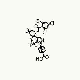 CC(C)(C)CN(CC(=O)c1c(Cl)cc(Cl)cc1Cl)C(=O)c1cnn(C23CCC(C(=O)O)(CC2)CC3)c1C(F)(F)F